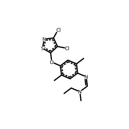 CCN(C)/C=N\c1cc(C)c(Oc2snc(Cl)c2Cl)cc1C